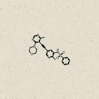 Cc1ncc(C#Cc2c(C)ncnc2N2CCOCC2)cc1NS(=O)(=O)c1ccccc1